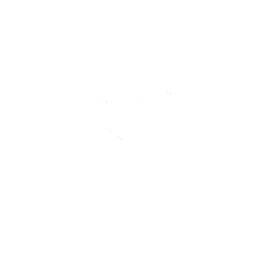 C=C(c1cc2ccccc2[nH]1)c1cnn(-c2ccc(C)c(C)c2)c1N